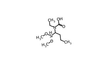 CCCC(N(CC)C(=O)O)[SiH](OC)OC